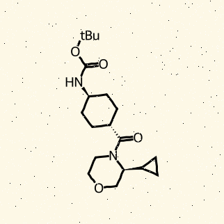 CC(C)(C)OC(=O)N[C@H]1CC[C@H](C(=O)N2CCOC[C@@H]2C2CC2)CC1